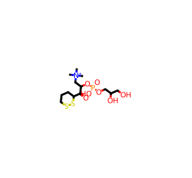 C[N+](C)(C)CC(OP(=O)(O)OCC(O)CO)C(=O)C1CCCSS1